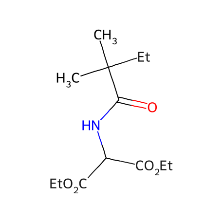 CCOC(=O)C(NC(=O)C(C)(C)CC)C(=O)OCC